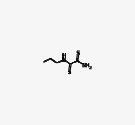 CCCNC(=S)C(N)=S